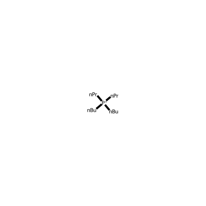 CCCC[P+](CCC)(CCC)CCCC